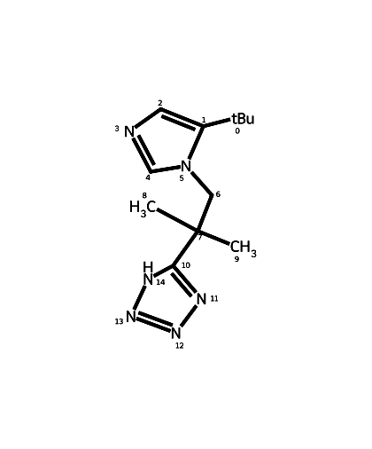 CC(C)(C)c1cncn1CC(C)(C)c1nnn[nH]1